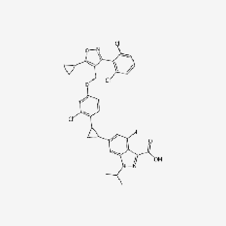 CC(C)n1nc(C(=O)O)c2c(I)cc(C3CC3c3ccc(OCc4c(-c5c(Cl)cccc5Cl)noc4C4CC4)cc3Cl)cc21